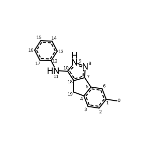 Cc1ccc2c(c1)-c1n[nH]c(Nc3ccccc3)c1C2